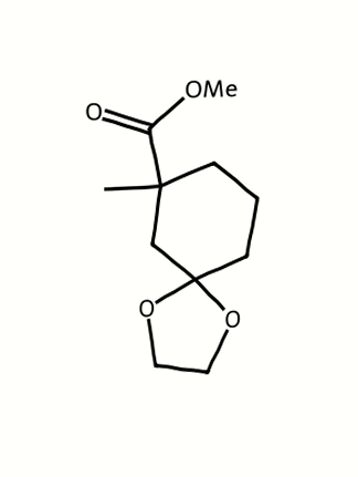 COC(=O)C1(C)CCCC2(C1)OCCO2